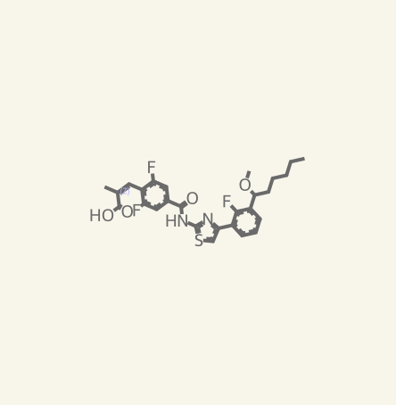 CCCCCC(OC)c1cccc(-c2csc(NC(=O)c3cc(F)c(/C=C(/C)C(=O)O)c(F)c3)n2)c1F